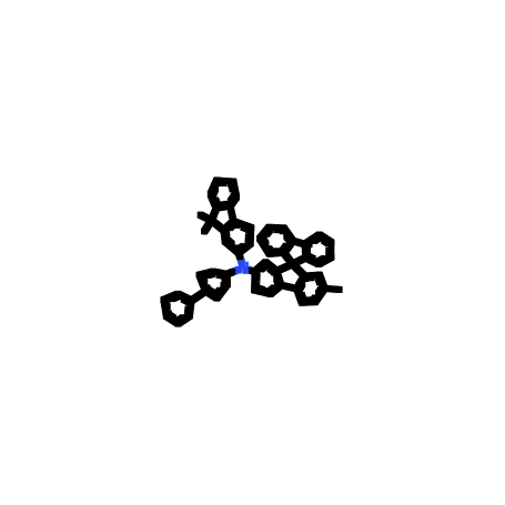 Cc1ccc2c(c1)C1(c3ccccc3-c3ccccc31)c1cc(N(c3ccc(-c4ccccc4)cc3)c3ccc4c(c3)C(C)(C)c3ccccc3-4)ccc1-2